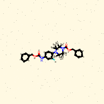 [2H]C1([2H])N(C(=O)OCc2ccccc2)C([2H])([2H])C([2H])([2H])N(c2ccc(NC(=O)OCc3ccccc3)cc2F)C1([2H])[2H]